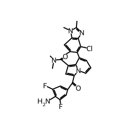 Cc1cc2c(nc(C)n2C)c(Cl)c1-c1cccn2c(C(=O)c3cc(F)c(N)c(F)c3)cc(C(=O)N(C)C)c12